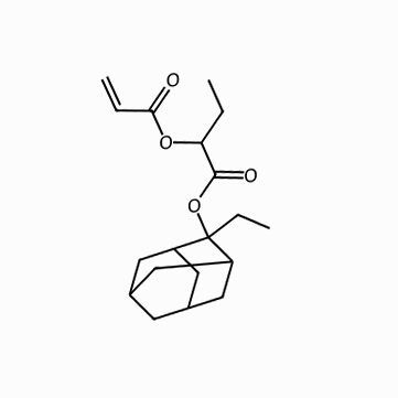 C=CC(=O)OC(CC)C(=O)OC1(CC)C2CC3CC(C2)CC1C3